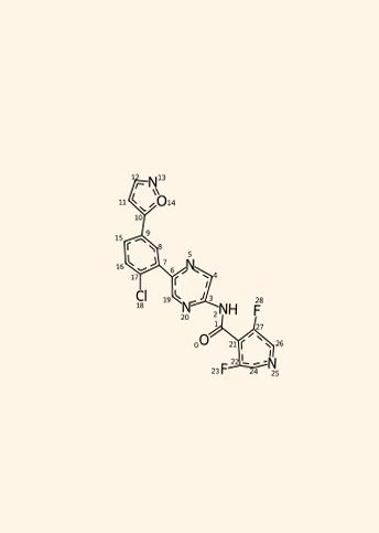 O=C(Nc1cnc(-c2cc(-c3ccno3)ccc2Cl)cn1)c1c(F)cncc1F